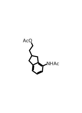 CC(=O)Nc1cccc2c1CC(CCOC(C)=O)C2